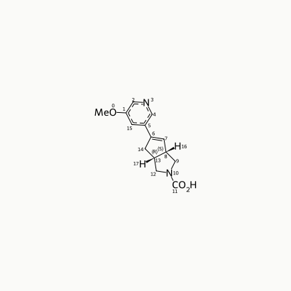 COc1cncc(C2=C[C@@H]3CN(C(=O)O)C[C@@H]3C2)c1